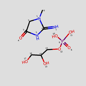 CN1CC(=O)NC1=N.O=P(O)(O)OCC(O)CO